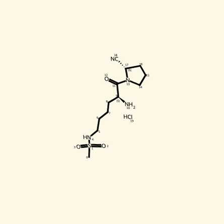 CS(=O)(=O)NCCCC[C@H](N)C(=O)N1CCC[C@H]1C#N.Cl